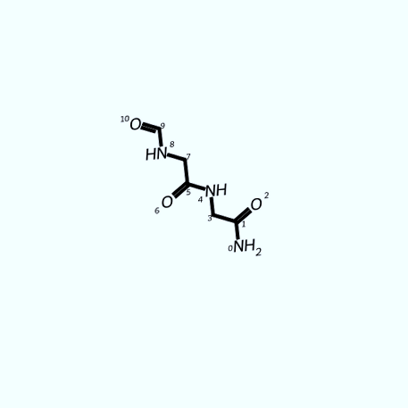 NC(=O)CNC(=O)CNC=O